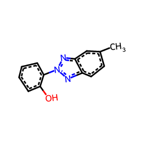 Cc1ccc2nn(-c3ccccc3O)nc2c1